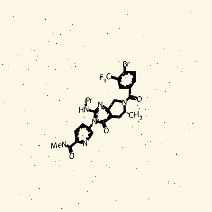 CNC(=O)c1ccc(-n2c(NC(C)C)nc3c(c2=O)C[C@@H](C)N(C(=O)c2ccc(Br)c(C(F)(F)F)c2)C3)cn1